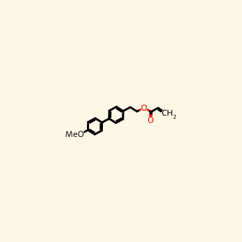 C=CC(=O)OCCc1ccc(-c2ccc(OC)cc2)cc1